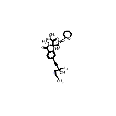 CC/C=C\C(C)(O)C#Cc1ccc(C(=O)N(C)C(C)(C(=O)NC)C(=O)NOC2CCCCO2)cc1